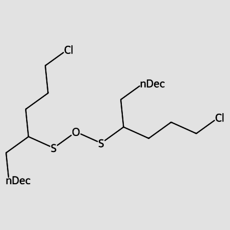 CCCCCCCCCCCC(CCCCl)SOSC(CCCCl)CCCCCCCCCCC